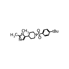 Cc1ncc(C2CCN(S(=O)(=O)c3ccc(C(C)(C)C)cc3)CC2)n1C